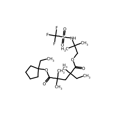 CCC1(OC(=O)C(C)(C)CC(C)(CC)C(=O)OCC(C)(C)NS(=O)(=O)C(F)(F)F)CCCC1